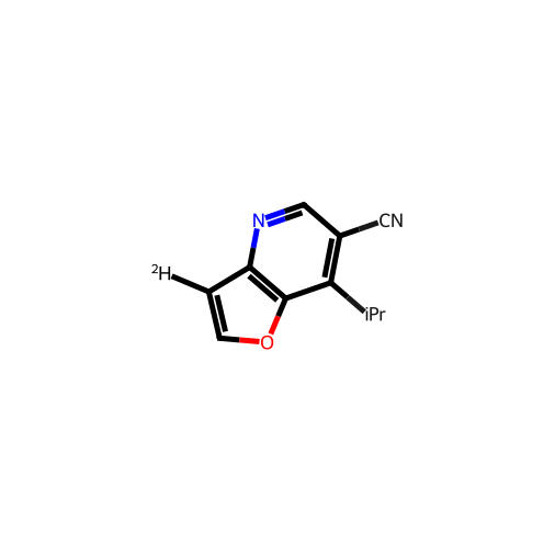 [2H]c1coc2c(C(C)C)c(C#N)cnc12